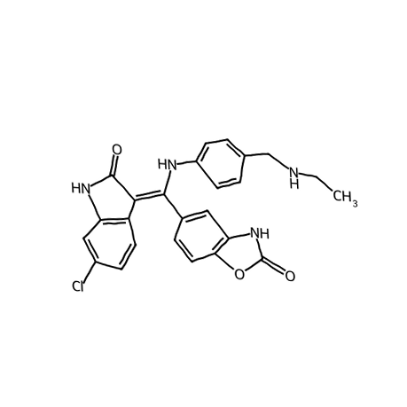 CCNCc1ccc(N/C(=C2\C(=O)Nc3cc(Cl)ccc32)c2ccc3oc(=O)[nH]c3c2)cc1